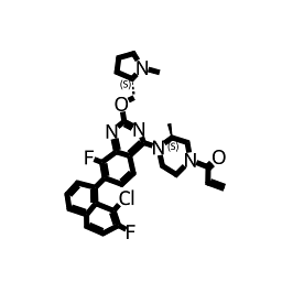 C=CC(=O)N1CCN(c2nc(OC[C@@H]3CCCN3C)nc3c(F)c(-c4cccc5ccc(F)c(Cl)c45)ccc23)[C@@H](C)C1